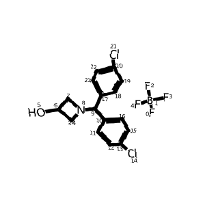 F[B-](F)(F)F.OC1CN(C(c2ccc(Cl)cc2)c2ccc(Cl)cc2)C1